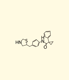 O=C(Nc1ccc(CC2CNCS2)cc1)C1(c2ccccc2)CC1